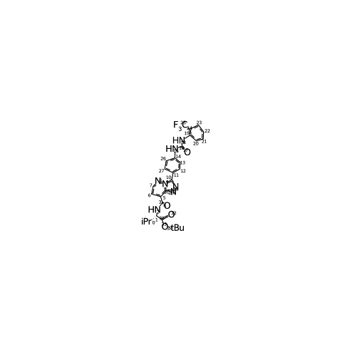 CC(C)[C@H](NC(=O)c1ccnn2c(-c3ccc(NC(=O)Nc4ccccc4C(F)(F)F)cc3)nnc12)C(=O)OC(C)(C)C